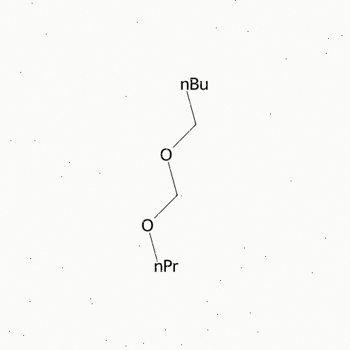 [CH2]CCOCOCCCCC